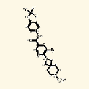 O=C(Nc1ccc(OC(F)(F)Cl)cc1)c1cnc(N2CC3(CCN(C(=O)O)CC3)C2)c(Br)c1